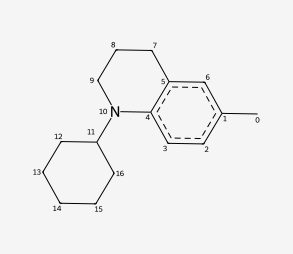 Cc1ccc2c(c1)CCCN2C1CCCCC1